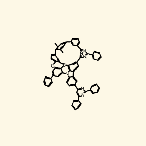 Cc1cc2cc(C)c1-c1ccc3c(c1)B1c4c(cc(-c5ccccc5)cc4-n4c5ccc(-c6cc(-c7ccccc7)nc(-c7ccccc7)n6)cc5c5cc(cc1c54)-c1nc(-c4ccccc4)nc(n1)-c1cccc-2c1)O3